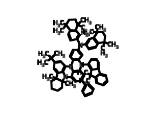 CC(C)(C)c1cc2c3c(c1)C1(C)CCCCC1(C)N3c1cc(-c3ccccc3)cc3c1B2c1ccc(N(c2ccc4c(c2)C(C)(C)CCC4(C)C)c2ccc4c(c2)C(C)(C)CCC4(C)C)cc1N3c1cccc2c1C(C)(C)c1ccccc1-2